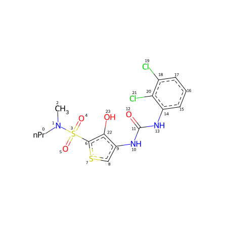 CCCN(C)S(=O)(=O)c1scc(NC(=O)Nc2cccc(Cl)c2Cl)c1O